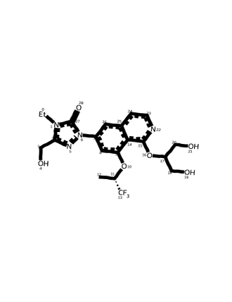 CCn1c(CO)nn(-c2cc(O[C@@H](C)C(F)(F)F)c3c(OC(CO)CO)nccc3c2)c1=O